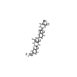 CC[C@@H]1C[C@@H](c2nc3cc(CCC(C)N4CC[C@@H](Oc5ccc(OC(F)(F)F)cc5)C[C@@H]4CC)ccc3o2)CCN1C(C)C